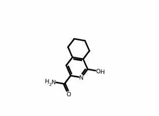 NC(=O)c1cc2c(c(O)n1)CCCC2